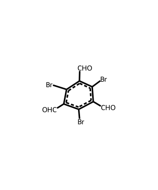 O=Cc1c(Br)c(C=O)c(Br)c(C=O)c1Br